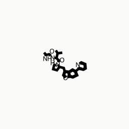 CC(N)C(=O)NC(C(=O)N1CCCC1Cc1coc2ccc(-c3ccccn3)cc12)C(C)C